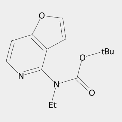 CCN(C(=O)OC(C)(C)C)c1nccc2occc12